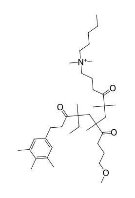 CCCCC[N+](C)(C)CCCC(=O)C(C)(C)CC(C)(CC(C)(CC)C(=O)CCc1cc(C)c(C)c(C)c1)C(=O)CCCOC